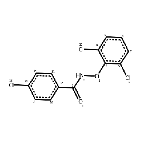 O=C(NOc1c(Cl)cccc1Cl)c1ccc(Cl)cc1